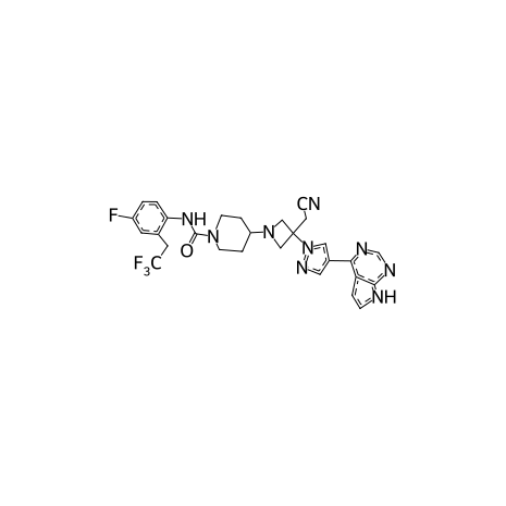 N#CCC1(n2cc(-c3ncnc4[nH]ccc34)cn2)CN(C2CCN(C(=O)Nc3ccc(F)cc3CC(F)(F)F)CC2)C1